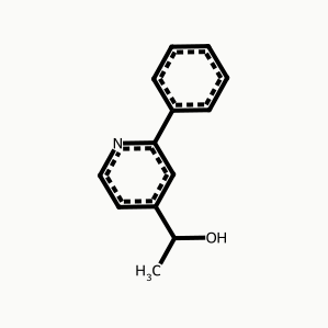 CC(O)c1ccnc(-c2ccccc2)c1